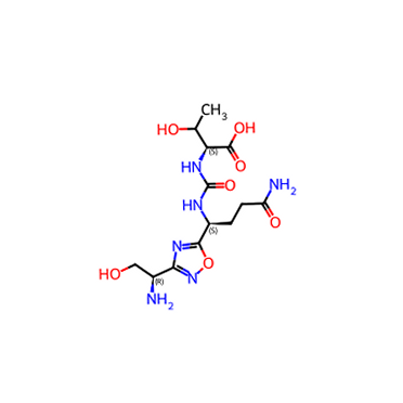 CC(O)[C@H](NC(=O)N[C@@H](CCC(N)=O)c1nc([C@@H](N)CO)no1)C(=O)O